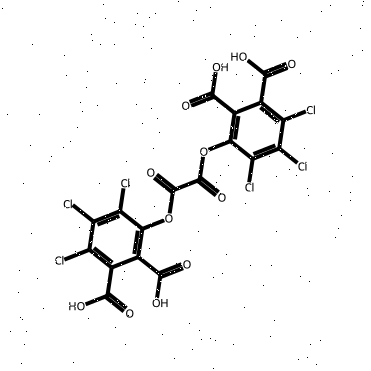 O=C(Oc1c(Cl)c(Cl)c(Cl)c(C(=O)O)c1C(=O)O)C(=O)Oc1c(Cl)c(Cl)c(Cl)c(C(=O)O)c1C(=O)O